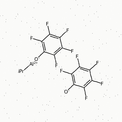 C[CH](C)[Al+2].[O-]c1c(F)c(F)c(F)c(F)c1F.[O-]c1c(F)c(F)c(F)c(F)c1F